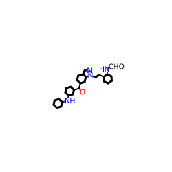 O=CNc1ccccc1C=Cn1ncc2ccc(C(=O)c3cccc(Nc4ccccc4)c3)cc21